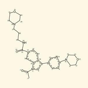 CC(=O)n1cc(-c2ccc(N3CCOCC3)nc2)c2ccc(C(=O)NCCCN3CCOCC3)cc21